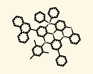 Cc1cc(C)c(B2c3cc(-c4ccccc4)cc4c3N3c5c2cc(-c2cc6ccccc6c6ccccc26)cc5[Si](c2ccccc2)(c2ccccc2)c2ccc5c(c23)B4c2ccccc2S5)c(C)c1